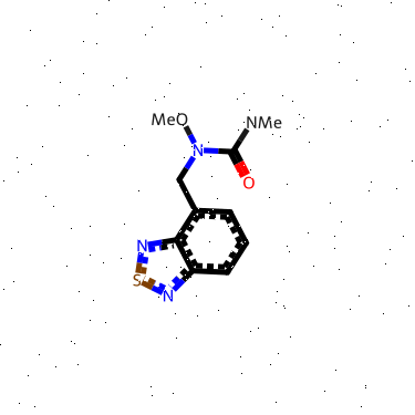 CNC(=O)N(Cc1cccc2nsnc12)OC